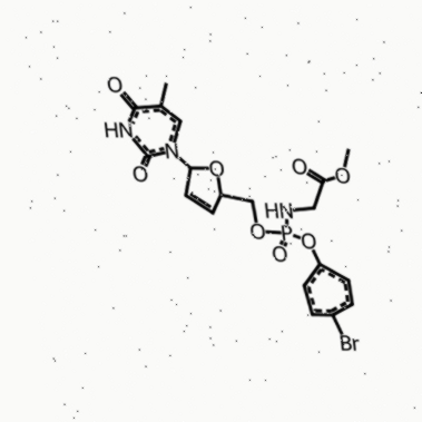 COC(=O)CNP(=O)(OCC1C=CC(n2cc(C)c(=O)[nH]c2=O)O1)Oc1ccc(Br)cc1